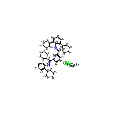 CC(=Nc1c(C2CCCCC2)cccc1C1CCCCC1)c1cccc(C(C)=Nc2c(C3CCCCC3)cccc2C2CCCCC2)n1.[Cl-].[Cl-].[Cl-].[Fe+3]